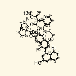 CCc1cccc2cc(O)cc(-c3nc4c5c(nc(OC[C@@]67CCCN6C[C@H](F)C7)nc5c3F)N([C@H](C)c3cccnc3N(C(=O)OC(C)(C)C)C(=O)OC(C)(C)C)CCO4)c12